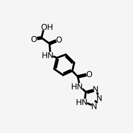 O=C(O)C(=O)Nc1ccc(C(=O)Nc2nnn[nH]2)cc1